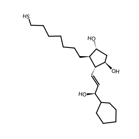 O[C@@H]1C[C@@H](O)[C@H](CCCCCCCS)[C@H]1/C=C/[C@H](O)C1CCCCC1